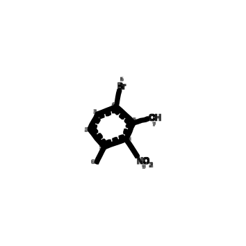 Cc1ccc(Br)c(O)c1[N+](=O)[O-]